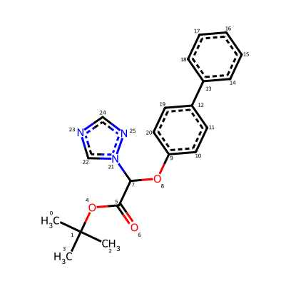 CC(C)(C)OC(=O)C(Oc1ccc(-c2ccccc2)cc1)n1cncn1